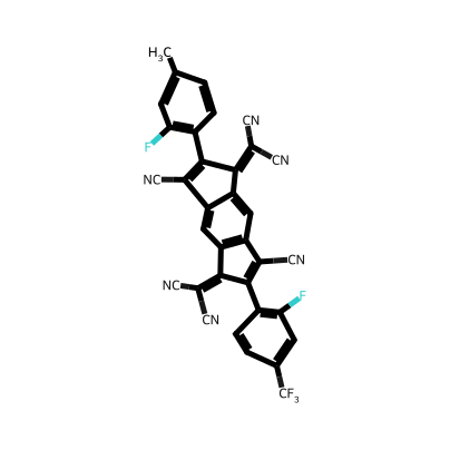 Cc1ccc(C2=C(C#N)c3cc4c(cc3C2=C(C#N)C#N)C(C#N)=C(c2ccc(C(F)(F)F)cc2F)C4=C(C#N)C#N)c(F)c1